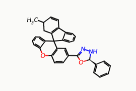 CC1C=CC2=C(C1)C1(c3ccccc3Oc3ccc(C4=NN[C@@H](c5ccccc5)O4)cc31)c1ccccc12